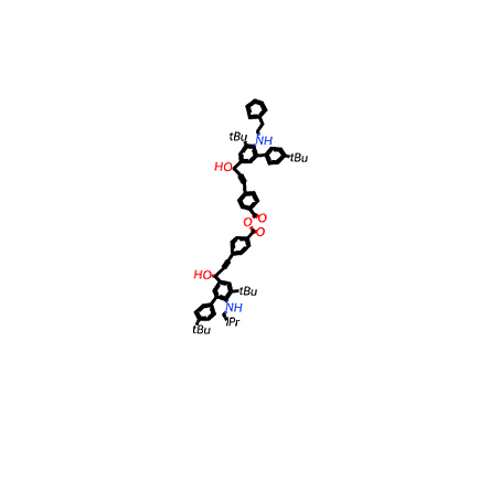 CC(C)CNc1c(-c2ccc(C(C)(C)C)cc2)cc(C(O)C#Cc2ccc(C(=O)OC(=O)c3ccc(C#CC(O)c4cc(-c5ccc(C(C)(C)C)cc5)c(NCCc5ccccc5)c(C(C)(C)C)c4)cc3)cc2)cc1C(C)(C)C